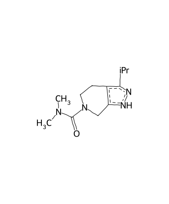 CC(C)c1n[nH]c2c1CCN(C(=O)N(C)C)C2